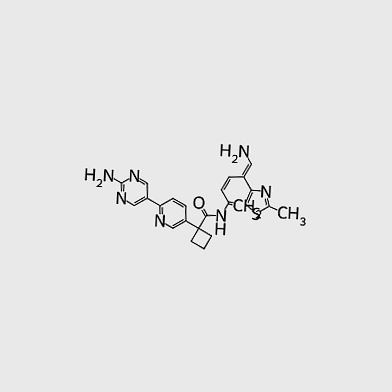 C=C(/C=C\C(=C/N)c1csc(C)n1)NC(=O)C1(c2ccc(-c3cnc(N)nc3)nc2)CCC1